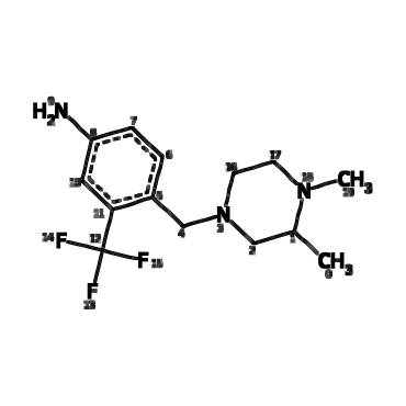 CC1CN(Cc2ccc(N)cc2C(F)(F)F)CCN1C